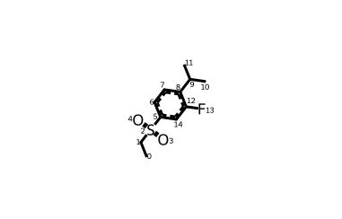 CCS(=O)(=O)c1ccc(C(C)C)c(F)c1